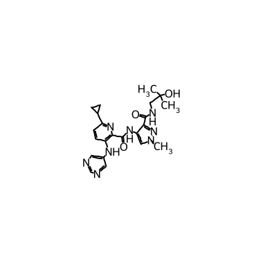 Cn1cc(NC(=O)c2nc(C3CC3)ccc2Nc2cncnc2)c(C(=O)NCC(C)(C)O)n1